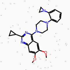 COc1cc2nc(C3CC3)nc(N3CCN(c4ccccc4N4CC4)CC3)c2cc1OC